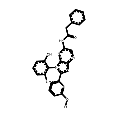 CCOC1=NC(c2nc3ncc(NC(=O)Cc4ccccc4)nc3n2-c2c(O)cccc2OC)=C=C=C1